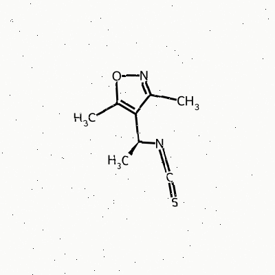 Cc1noc(C)c1[C@H](C)N=C=S